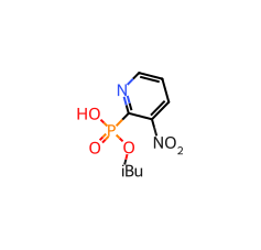 CCC(C)OP(=O)(O)c1ncccc1[N+](=O)[O-]